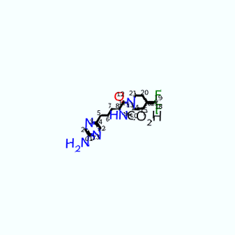 Nc1cnc(CCC[C@H](NC(=O)O)C(=O)N2CCC(=C(F)F)CC2)cn1